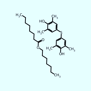 CCCCCCCOC(=O)CCCCCCC.Cc1cc(Sc2cc(C)c(O)c(C)c2)cc(C)c1O